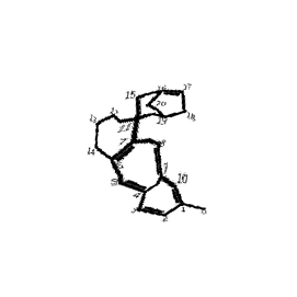 Cc1ccc2cc3c(cc2c1)C1(CCC3)CC2=CCC1C2